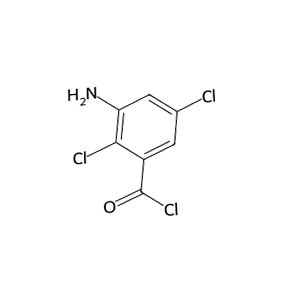 Nc1cc(Cl)cc(C(=O)Cl)c1Cl